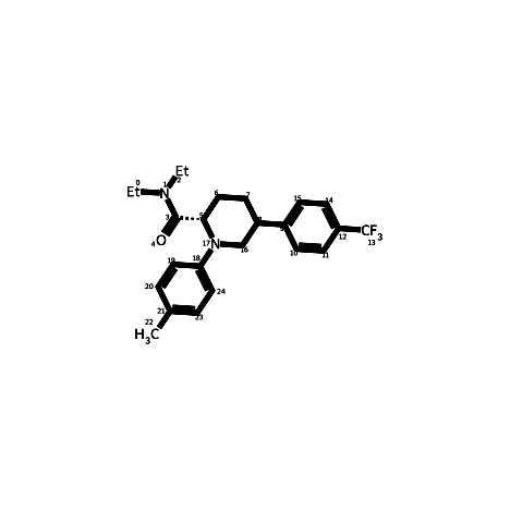 CCN(CC)C(=O)[C@@H]1CCC(c2ccc(C(F)(F)F)cc2)CN1c1ccc(C)cc1